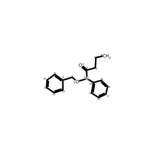 CCCC(=O)N(OCc1ccccc1)c1ccccc1